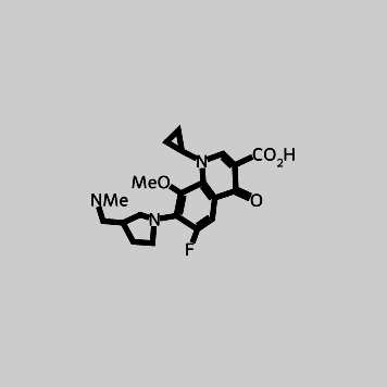 CNCC1CCN(c2c(F)cc3c(=O)c(C(=O)O)cn(C4CC4)c3c2OC)C1